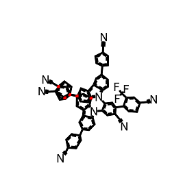 N#Cc1ccc(-c2ccc3c(c2)c2cc(-c4ccc(C#N)cc4)ccc2n3-c2cc(C#N)c(-c3ccc(C#N)cc3C(F)(F)F)cc2-n2c3ccc(-c4ccc(C#N)cc4)cc3c3cc(-c4ccc(C#N)cc4)ccc32)cc1